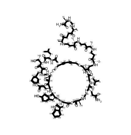 CC(=O)N[C@@H](CC(C)C)C(=O)N[C@H](C(=O)C(=O)[C@H](Cc1ccccc1)NN[C@]1(C)CCCCC#CC#CCCC[C@@](C)(C(=O)CN[C@@H](C)C(=O)CCN[C@@H](C)C(=O)CCN[C@@H](C)C(=O)CCN[C@@H](C)C(=O)CCC(=O)[C@H](C)NCN[C@H](C)C(N)=O)NC(=O)[C@H](CC(C)C)NC(=O)[C@H](CCC(N)=O)NCN[C@@H](C)C(=O)CC(=O)[C@H](Cc2c[nH]c3ccccc23)NN[C@@H](Cc2ccc(O)cc2)C(=O)N[C@@H](CCC(=O)O)C(=O)C1=O)[C@@H](C)O